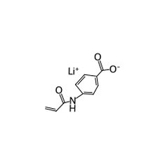 C=CC(=O)Nc1ccc(C(=O)[O-])cc1.[Li+]